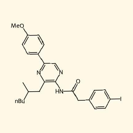 CCCCC(C)Cc1nc(-c2ccc(OC)cc2)cnc1NC(=O)Cc1ccc(I)cc1